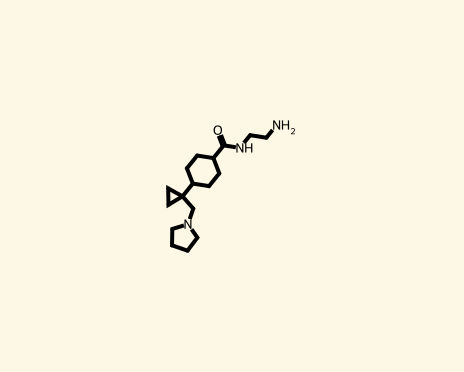 NCCNC(=O)C1CCC(C2(CN3CCCC3)CC2)CC1